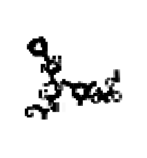 CCOC(=O)C(C)(C)Oc1c(C)cc(CN(CC(=O)NC(C)C=O)[C@@H](C)c2coc(-c3ccccc3)n2)cc1C